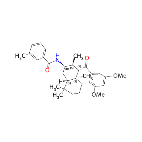 COc1cc(OC)cc(C(=O)[C@H]2[C@H](C)[C@H](NC(=O)c3cccc(C)c3)C[C@H]3C(C)(C)CCC[C@]23C)c1